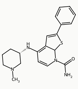 CN1CCC[C@H](NC2=C3C=C(c4ccccc4)SC3N(C(N)=O)C=C2)C1